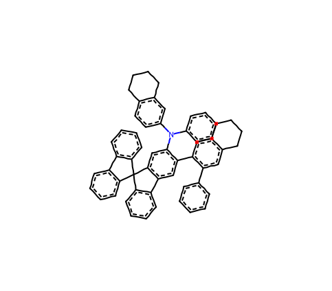 c1ccc(-c2cc3c(cc2-c2cc4c(cc2N(c2ccccc2)c2ccc5c(c2)CCCC5)C2(c5ccccc5-c5ccccc52)c2ccccc2-4)CCCC3)cc1